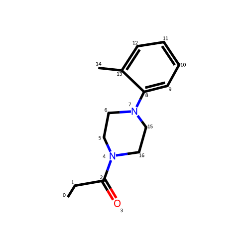 CCC(=O)N1CCN(c2ccccc2C)CC1